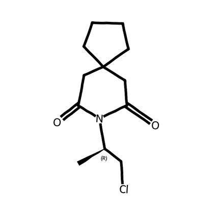 C[C@H](CCl)N1C(=O)CC2(CCCC2)CC1=O